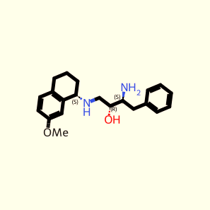 COc1ccc2c(c1)[C@@H](NC[C@@H](O)[C@@H](N)Cc1ccccc1)CCC2